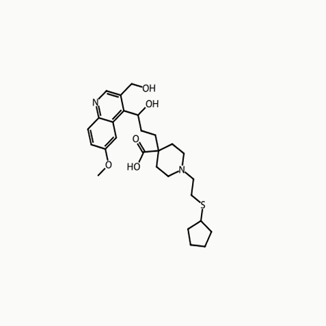 COc1ccc2ncc(CO)c(C(O)CCC3(C(=O)O)CCN(CCSC4CCCC4)CC3)c2c1